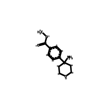 COC(=O)c1ccc(C2(N)CCOCC2)cc1